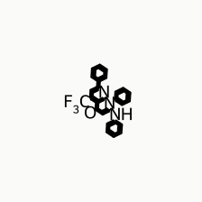 O=c1cc(Nc2ccccc2)n(-c2ccccc2)c2nc(-c3ccccc3)cc(C(F)(F)F)c12